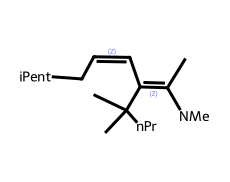 CCCC(C)C/C=C\C(=C(/C)NC)C(C)(C)CCC